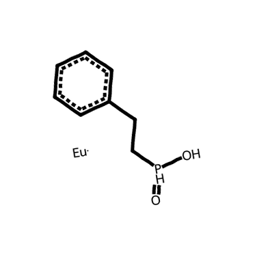 O=[PH](O)CCc1ccccc1.[Eu]